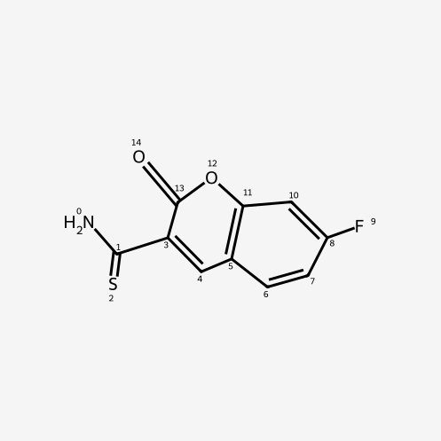 NC(=S)c1cc2ccc(F)cc2oc1=O